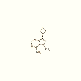 Cc1nn(C2COC2)c2ncnc(N)c12